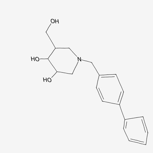 OCC1CN(Cc2ccc(-c3ccccc3)cc2)CC(O)C1O